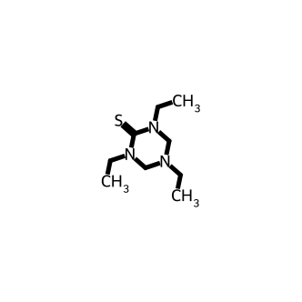 CCN1CN(CC)C(=S)N(CC)C1